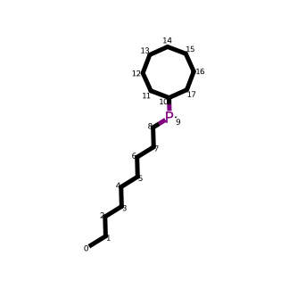 CCCCCCCCC[P]C1CCCCCCC1